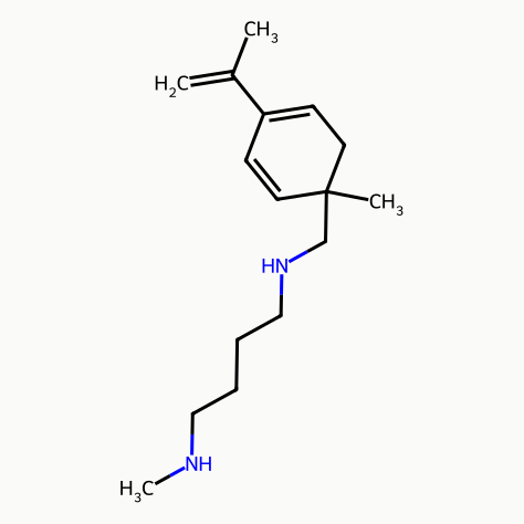 C=C(C)C1=CCC(C)(CNCCCCNC)C=C1